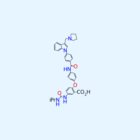 CC(C)NC(=O)Nc1ccc(Oc2ccc(NC(=O)c3ccc(-n4cc(CN5CCCC5)c5ccccc54)cc3)cc2)c(C(=O)O)c1